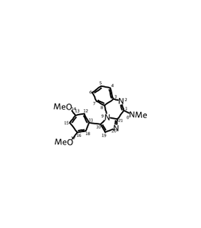 CNc1nc2ccccc2n2c(-c3cc(OC)cc(OC)c3)cnc12